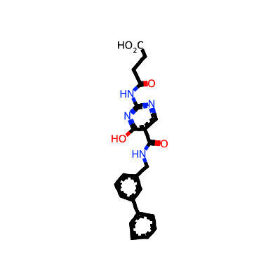 O=C(O)CCC(=O)Nc1ncc(C(=O)NCc2cccc(-c3ccccc3)c2)c(O)n1